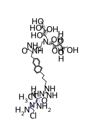 CN/C(C(=O)NC(=N)NCCCCc1ccc2cc(CC(NCCCN(C[C@H](O)[C@@H](O)[C@H](O)[C@H](O)CO)C[C@H](O)[C@@H](O)[C@H](O)CO)C(N)=O)ccc2c1)=C(N)\N=C(\N)CCl